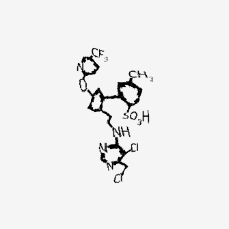 Cc1ccc(S(=O)(=O)O)c(-c2cc(Oc3ccc(C(F)(F)F)cn3)ccc2CCNc2ncnc(CCl)c2Cl)c1